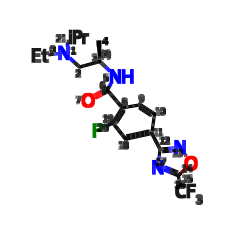 CCN(C[C@@H](C)NC(=O)c1ccc(-c2noc(C(F)(F)F)n2)cc1F)C(C)C